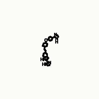 C(=C\c1ccc2[nH]c(C3=NCCN3)cc2c1)/c1ccc(Oc2ccc(C3=NCCN3)cc2)cc1